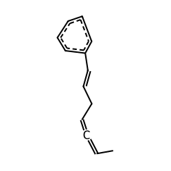 CC=C=CCC=Cc1ccccc1